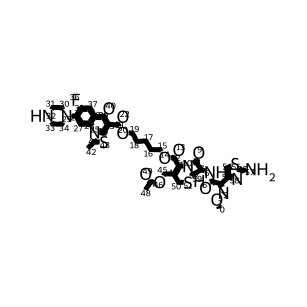 CO/N=C(\C(=O)NC1C(=O)N2C(C(=O)OCCCCCOC(=O)c3c4n(c5cc(N6CCNCC6)c(F)cc5c3=O)C(C)S4)=C(COC(C)=O)CS[C@H]12)c1csc(N)n1